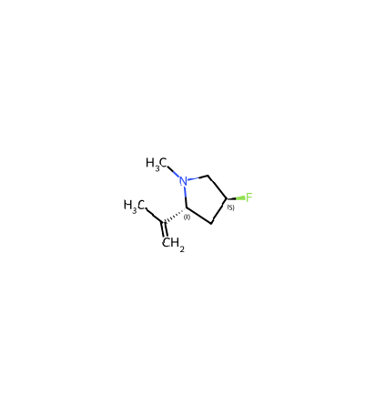 C=C(C)[C@H]1C[C@H](F)CN1C